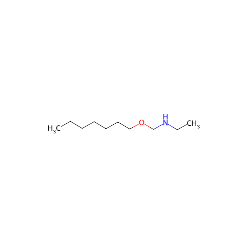 CCCCCCCOCNCC